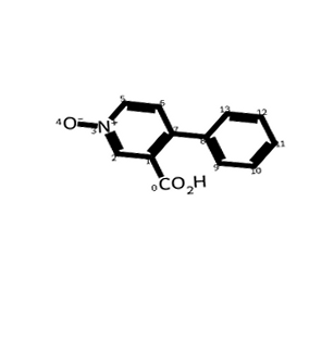 O=C(O)c1c[n+]([O-])ccc1-c1ccccc1